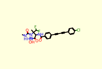 CNC(=O)NC(C)(C(F)F)C(NC(=O)c1ccc(C#CC#Cc2ccc(Cl)cc2)cc1)C(=O)NO